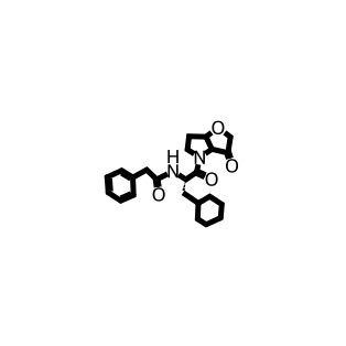 O=C(Cc1ccccc1)N[C@@H](CC1CCCCC1)C(=O)N1CCC2OCC(=O)C21